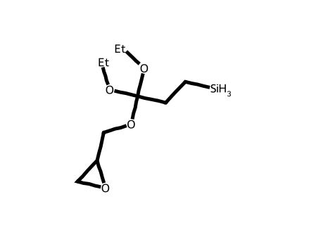 CCOC(CC[SiH3])(OCC)OCC1CO1